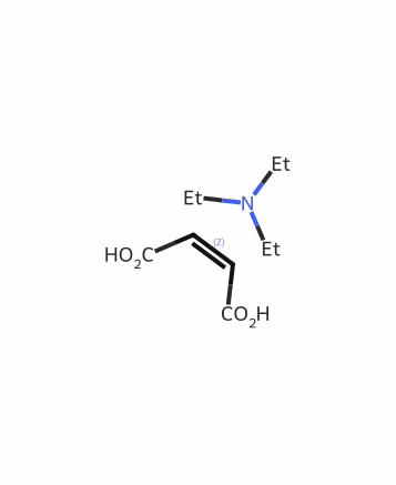 CCN(CC)CC.O=C(O)/C=C\C(=O)O